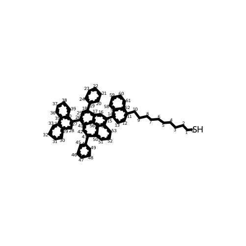 SCCCCCCCCCCc1ccc(-c2cc3c(-c4ccccc4)cc(-c4cc5ccccc5c5ccccc45)c4cc(-c5ccccc5)c5cccc2c5c34)c2ccccc12